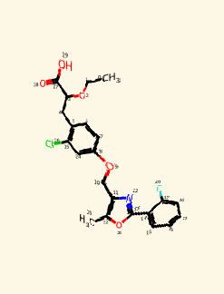 CCOC(Cc1ccc(OCc2nc(-c3ccccc3F)oc2C)cc1Cl)C(=O)O